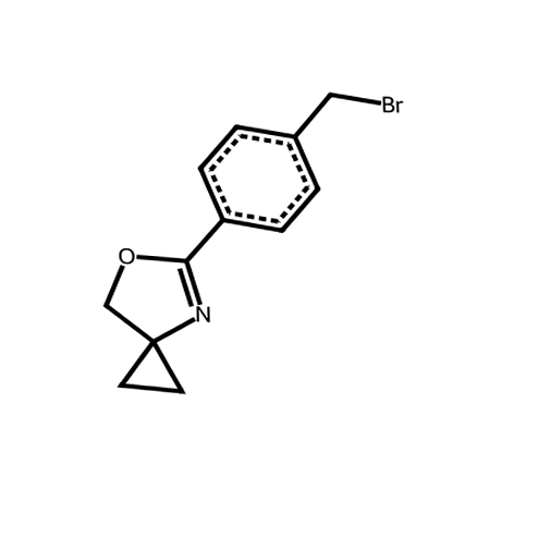 BrCc1ccc(C2=NC3(CC3)CO2)cc1